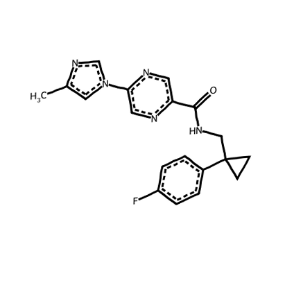 Cc1cn(-c2cnc(C(=O)NCC3(c4ccc(F)cc4)CC3)cn2)cn1